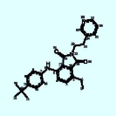 CCc1ccc(Nc2ccc(C(C)(C)C)cc2)c2c1C(=O)N(CCc1cccnc1)C2=O